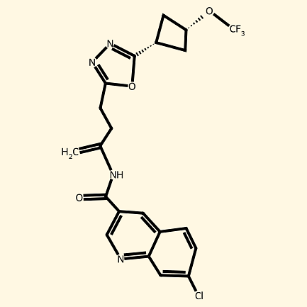 C=C(CCc1nnc([C@H]2C[C@@H](OC(F)(F)F)C2)o1)NC(=O)c1cnc2cc(Cl)ccc2c1